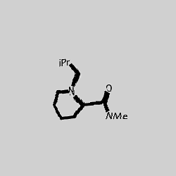 CNC(=O)C1CCCCN1CC(C)C